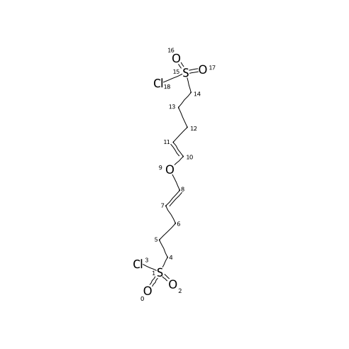 O=S(=O)(Cl)CCCC=COC=CCCCS(=O)(=O)Cl